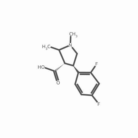 CC1[C@@H](C(=O)O)[C@H](c2ccc(F)cc2F)CN1C